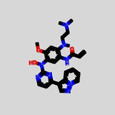 C=CC(=O)Nc1cc(N(O)c2nccc(-c3cnn4ccccc34)n2)c(OC)cc1N(C)CCN(C)C